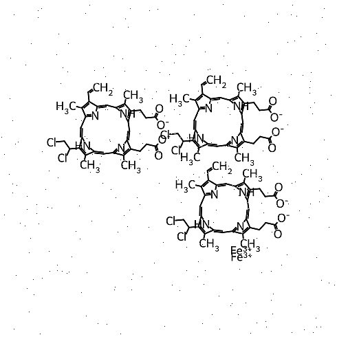 C=CC1=C(C)c2cc3[nH]c(cc4nc(cc5[nH]c(cc1n2)c(C)c5CCC(=O)[O-])C(CCC(=O)[O-])=C4C)c(C)c3C(Cl)CCl.C=CC1=C(C)c2cc3[nH]c(cc4nc(cc5[nH]c(cc1n2)c(C)c5CCC(=O)[O-])C(CCC(=O)[O-])=C4C)c(C)c3C(Cl)CCl.C=CC1=C(C)c2cc3[nH]c(cc4nc(cc5[nH]c(cc1n2)c(C)c5CCC(=O)[O-])C(CCC(=O)[O-])=C4C)c(C)c3C(Cl)CCl.[Fe+3].[Fe+3]